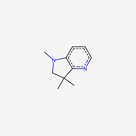 CN1CC(C)(C)c2ncccc21